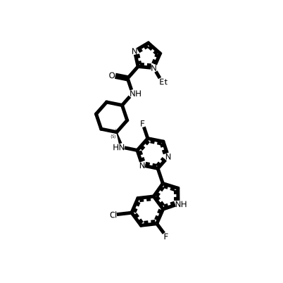 CCn1ccnc1C(=O)NC1CCC[C@H](Nc2nc(-c3c[nH]c4c(F)cc(Cl)cc34)ncc2F)C1